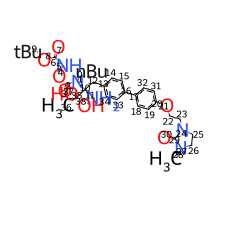 CCCCN(C(=O)ONC(=O)OC(C)(C)C)C(N)(Cc1ccc(-c2ccc(OCCN3CCN(C)C3=O)cc2)cc1)C(C)(O)O